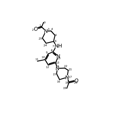 CC(=O)N1CCC(Nc2cc(C)cc(N3CCN(C(C)=O)CC3)n2)CC1